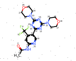 CC(=O)Nc1cc(C(F)(F)F)c(-c2nc(N3CCOCC3)nc(N3CCOCC3)n2)cn1